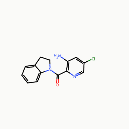 Nc1cc(Cl)cnc1C(=O)N1CCc2ccccc21